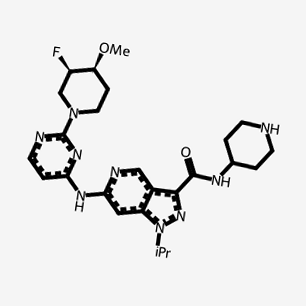 CO[C@H]1CCN(c2nccc(Nc3cc4c(cn3)c(C(=O)NC3CCNCC3)nn4C(C)C)n2)C[C@H]1F